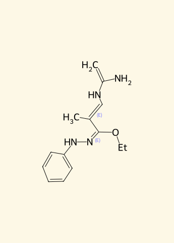 C=C(N)N/C=C(C)/C(=N\Nc1ccccc1)OCC